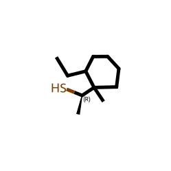 CCC1CCCCC1(C)[C@@H](C)S